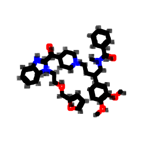 COc1ccc(C(CCN2CCC(C(=O)c3nc4ccccc4n3CCOCc3ccco3)CC2)CN(C)C(=O)c2ccccc2)cc1OC